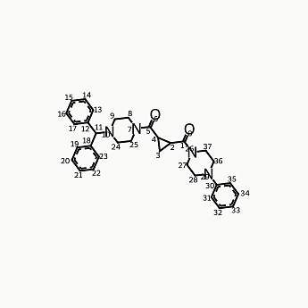 O=C(C1CC1C(=O)N1CCN(C(c2ccccc2)c2ccccc2)CC1)N1CCN(c2ccccc2)CC1